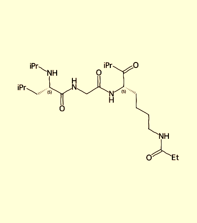 CCC(=O)NCCCC[C@H](NC(=O)CNC(=O)[C@H](CC(C)C)NC(C)C)C(=O)C(C)C